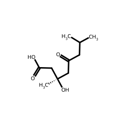 CC(C)CC(=O)C[C@@](C)(O)CC(=O)O